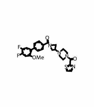 COc1cc(F)c(F)cc1-c1ccc(C(=O)N2CC(N3CCN(C(=O)c4nccs4)CC3)C2)cc1